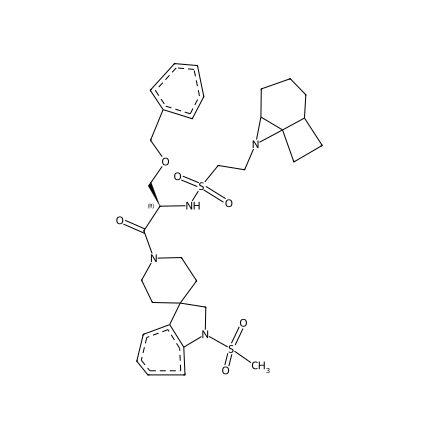 CS(=O)(=O)N1CC2(CCN(C(=O)[C@@H](COCc3ccccc3)NS(=O)(=O)CCN3C4CCCC5CCC543)CC2)c2ccccc21